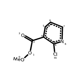 COOC(=O)c1cccnc1Cl